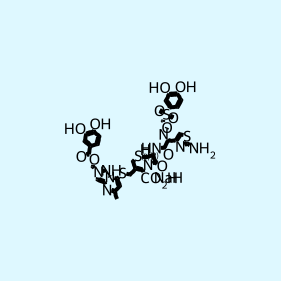 CC1=NC2=CN(COC(=O)c3ccc(O)c(O)c3)NN2C(SCC2=C(C(=O)O)N3C(=O)[C@@H](NC(=O)C(=NOCS(=O)(=O)c4ccc(O)c(O)c4)c4csc(N)n4)[C@H]3SC2)=C1.[NaH]